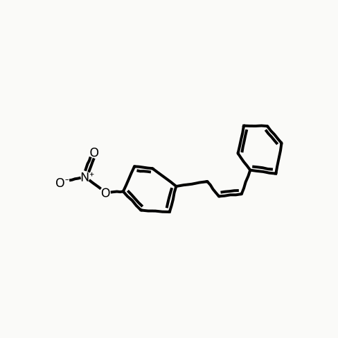 O=[N+]([O-])Oc1ccc(C/C=C\c2ccccc2)cc1